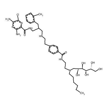 CCCCCCN(CCNC(=O)c1ccc(CCNCC(CNC(=O)c2nc(Cl)c(N)nc2N)Cc2ccccc2C)cc1)C[C@H](O)[C@@H](O)[C@H](O)[C@H](O)CO